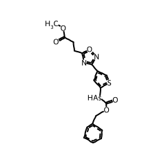 COC(=O)CCc1nc(-c2csc([AsH]C(=O)OCc3ccccc3)c2)no1